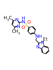 CCn1c(CNc2ccc(S(=O)(=O)Nc3nc(C)cc(C)n3)cc2)nc2ccccc21